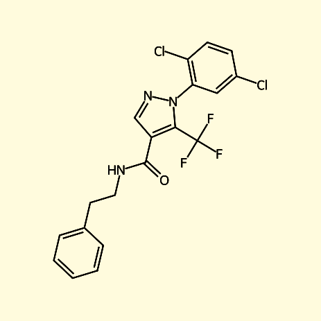 O=C(NCCc1ccccc1)c1cnn(-c2cc(Cl)ccc2Cl)c1C(F)(F)F